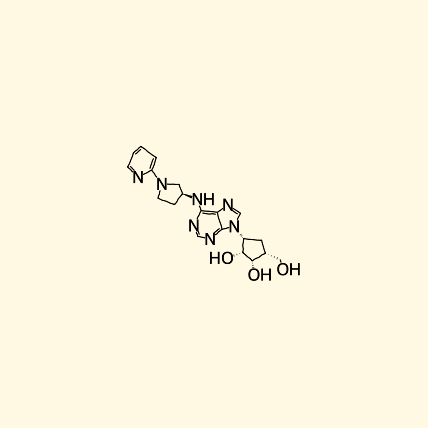 OC[C@H]1C[C@@H](n2cnc3c(N[C@H]4CCN(c5ccccn5)C4)ncnc32)[C@@H](O)[C@H]1O